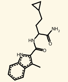 Cc1c(C(=O)NC(CCC2CC2)C(N)=O)[nH]c2ccccc12